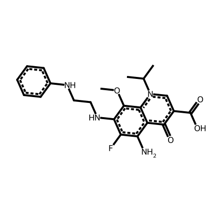 COc1c(NCCNc2ccccc2)c(F)c(N)c2c(=O)c(C(=O)O)cn(C(C)C)c12